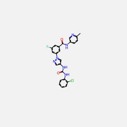 Cc1ccc(NC(=O)c2cc(F)cc(-n3cc(NC(=O)Nc4ccccc4Cl)cn3)c2)cn1